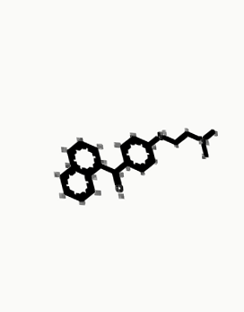 CN(C)CCSc1ccc(C(=O)c2cccc3ccccc23)cc1